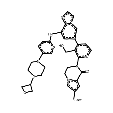 CCCCCc1cc2n(c1)CCN(c1nccc(-c3cc(Nc4ccc(N5CCN(C6COC6)CC5)cn4)c4nccn4c3)c1CO)C2=O